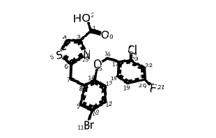 O=C(O)c1csc(Cc2cc(Br)ccc2OCc2ccc(F)cc2Cl)n1